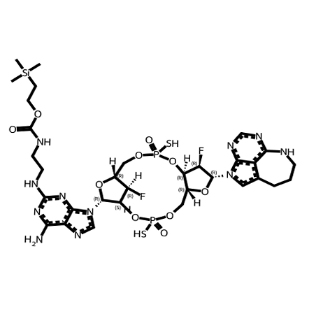 C[Si](C)(C)CCOC(=O)NCCNc1nc(N)c2ncn([C@@H]3O[C@@H]4COP(=O)(S)O[C@H]5[C@@H](F)[C@H](n6cc7c8c(ncnc86)NCCC7)O[C@@H]5COP(=O)(S)O[C@@H]3[C@@H]4F)c2n1